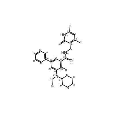 C=C1NC(C)=CC(C)=C1CNC(=O)c1cc(-c2ccccc2)cc(N(CC)C2CCCCC2)c1C